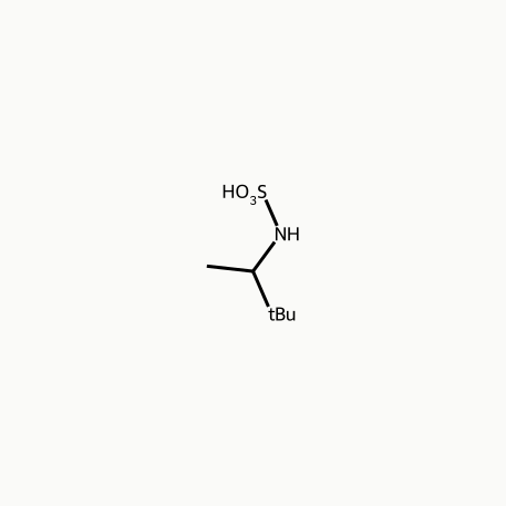 CC(NS(=O)(=O)O)C(C)(C)C